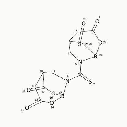 O=C1CC2CN(C(=S)N3CC4CC(=O)OB3OC4=O)B(O1)OC2=O